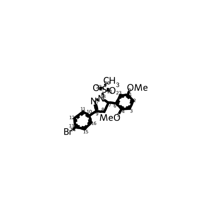 COc1ccc(OC)c(C2CC(c3ccc(Br)cc3)=NN2S(C)(=O)=O)c1